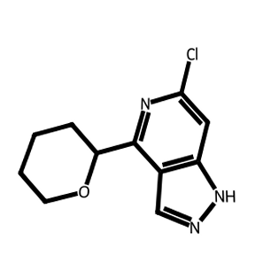 Clc1cc2[nH]ncc2c(C2CCCCO2)n1